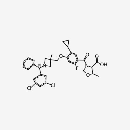 CC1OCN(C(=O)c2cc(C3CC3)c(OCC3(C)CN([C@H](c4ccccc4)c4cc(Cl)cc(Cl)c4)C3)cc2F)C1C(=O)O